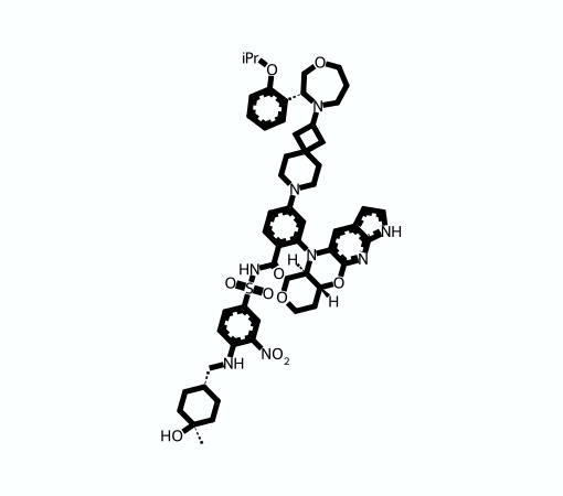 CC(C)Oc1ccccc1[C@@H]1COCCCN1C1CC2(CCN(c3ccc(C(=O)NS(=O)(=O)c4ccc(NC[C@H]5CC[C@](C)(O)CC5)c([N+](=O)[O-])c4)c(N4c5cc6cc[nH]c6nc5O[C@@H]5CCOC[C@H]54)c3)CC2)C1